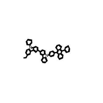 CCc1ccc2c(c1)c1cc(-c3ccc4c(c3)c3ccccc3n4-c3ccc(-c4c5ccccc5c(-c5ccccc5)c5ccccc45)cc3)ccc1n2-c1ccccc1